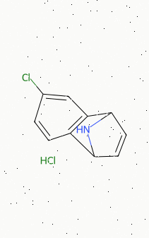 Cl.Clc1ccc2c(c1)C1C=CC2N1